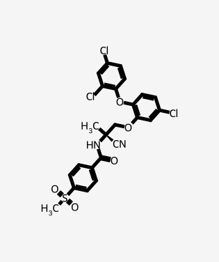 C[C@](C#N)(COc1cc(Cl)ccc1Oc1ccc(Cl)cc1Cl)NC(=O)c1ccc(S(C)(=O)=O)cc1